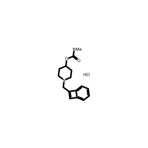 CNC(=O)OC1CCN(CC2=Cc3ccccc32)CC1.Cl